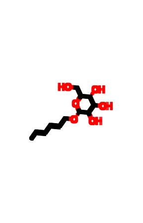 C/C=C/C=C/CO[C@@H]1OC(CO)[C@H](O)C(O)C1O